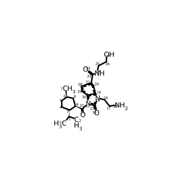 CC(C)[C@@H]1CC[C@@H](C)C[C@H]1C(=O)n1c(=O)n(CCN)c2cc(C(=O)NCCO)ccc21